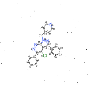 Clc1c(-c2ccccc2)nnc2c1c(-c1ccccc1)nn2Cc1ccncc1